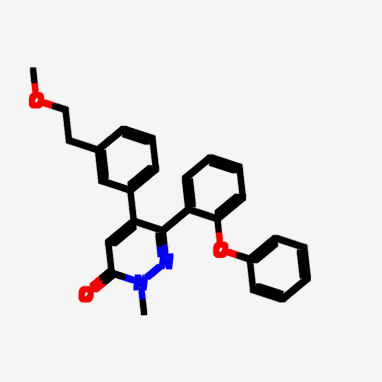 COCCc1cccc(-c2cc(=O)n(C)nc2-c2ccccc2Oc2ccccc2)c1